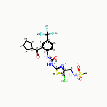 CS(=O)(=O)NCc1nc(NC(=O)Nc2ccc(C(F)(F)F)cc2C(=O)C2CCCC2)sc1Cl